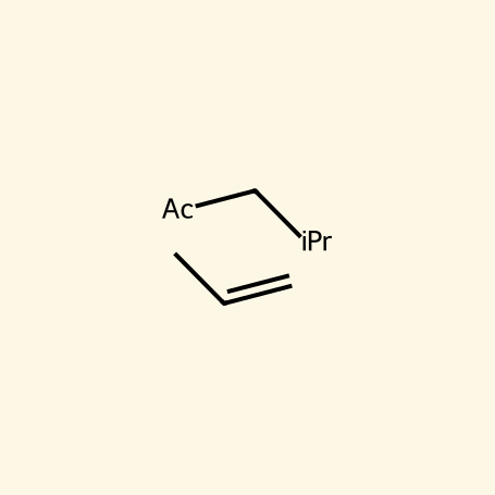 C=CC.CC(=O)CC(C)C